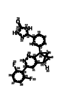 CC1(C)[C@H]2CC[C@@]1(c1cccc(-c3n[nH]c(=O)[nH]3)n1)c1nnc(-c3c(F)cccc3F)cc12